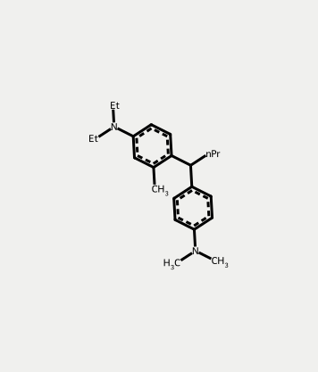 [CH2]CCC(c1ccc(N(C)C)cc1)c1ccc(N(CC)CC)cc1C